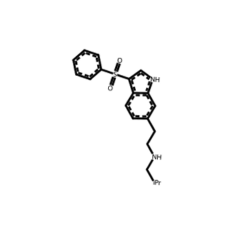 CC(C)CNCCc1ccc2c(S(=O)(=O)c3ccccc3)c[nH]c2c1